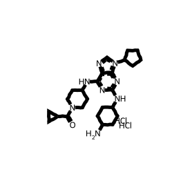 Cl.Cl.NC1CCC(Nc2nc(NC3CCN(C(=O)C4CC4)CC3)c3ncn(C4CCCC4)c3n2)CC1